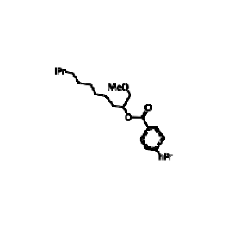 CCCc1ccc(C(=O)OC(CCCCCCC(C)C)COC)cc1